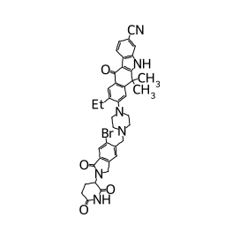 CCc1cc2c(cc1N1CCN(Cc3cc4c(cc3Br)C(=O)N(C3CCC(=O)NC3=O)C4)CC1)C(C)(C)c1[nH]c3cc(C#N)ccc3c1C2=O